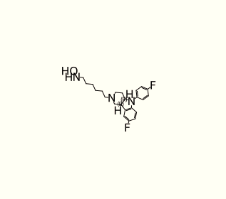 ONCCCCCCN1CC[C@@H]2[C@@H](C1)c1cc(F)ccc1N2c1ccc(F)cc1